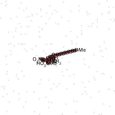 C=CCOC(=O)NCC1(OCC(=O)NCCC(=O)NCc2cc(COC(=O)Oc3ccc([N+](=O)[O-])cc3)ccc2O[C@@H]2O[C@H](C(=O)O)[C@@H](OC(C)=O)[C@H](OC(C)=O)[C@H]2OC(C)=O)CN(C(=O)CCOCCOCCOCCOCCOCCOCCOCCOCCOCCOCCOCCOC)C1